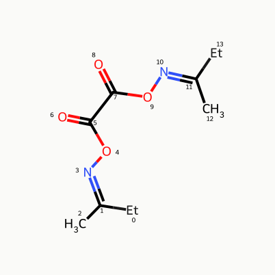 CC/C(C)=N\OC(=O)C(=O)O/N=C(\C)CC